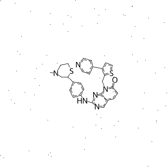 CN1CCSC(c2ccc(Nc3ncc4ccc(=O)n(Cc5sccc5-c5ccncc5)c4n3)cc2)C1